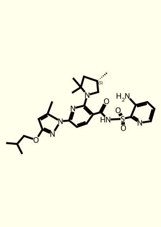 Cc1cc(OCC(C)C)nn1-c1ccc(C(=O)NS(=O)(=O)c2ncccc2N)c(N2C[C@@H](C)CC2(C)C)n1